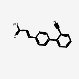 N#Cc1ccccc1-c1ccc(C=CC(=O)O)cc1